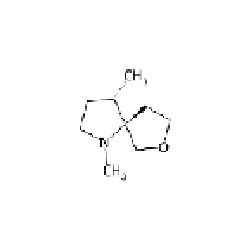 C[C@H]1CCN(C)[C@]12CCOC2